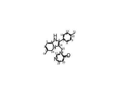 CC1=CC=C2NC(c3ccc(C)cc3)=C(Cn3cnccc3=O)N2C1